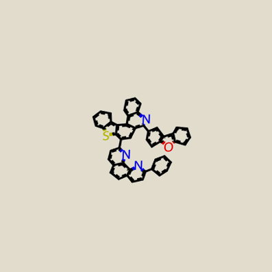 c1ccc(-c2ccc3ccc4ccc(-c5cc6c(-c7ccc8oc9ccccc9c8c7)nc7ccccc7c6c6c5sc5ccccc56)nc4c3n2)cc1